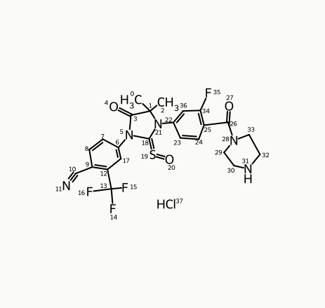 CC1(C)C(=O)N(c2ccc(C#N)c(C(F)(F)F)c2)C(=S=O)N1c1ccc(C(=O)N2CCNCC2)c(F)c1.Cl